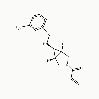 C=CC(=O)N1C[C@@H]2[C@H](C1)[C@H]2NCc1cccc(C(F)(F)F)c1